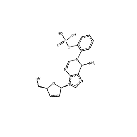 NC1c2ncn([C@H]3C=C[C@@H](CO)O3)c2N=CN1c1ccccc1OP(=O)(O)O